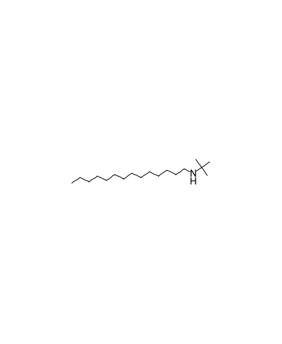 CCCCCCCCCCCCCCNC(C)(C)C